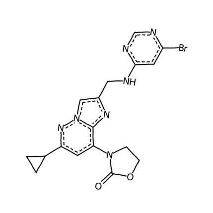 O=C1OCCN1c1cc(C2CC2)nn2cc(CNc3cc(Br)ncn3)nc12